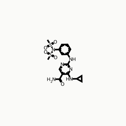 CS(=O)(=O)N(c1cccc(Nc2ncc(C(N)=O)c(NC3CC3)n2)c1)S(C)(=O)=O